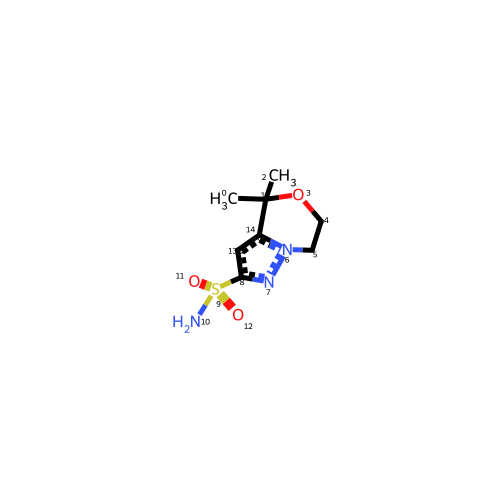 CC1(C)OCCn2nc(S(N)(=O)=O)cc21